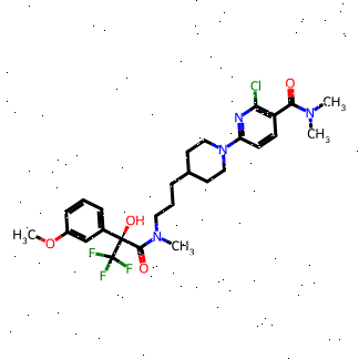 COc1cccc([C@](O)(C(=O)N(C)CCCC2CCN(c3ccc(C(=O)N(C)C)c(Cl)n3)CC2)C(F)(F)F)c1